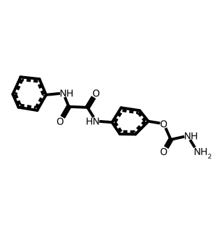 NNC(=O)Oc1ccc(NC(=O)C(=O)Nc2ccccc2)cc1